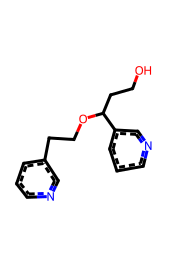 OCCC(OCCc1cccnc1)c1cccnc1